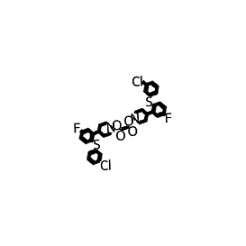 O=C(ON1CCC(c2cc(F)ccc2Sc2cccc(Cl)c2)CC1)C(=O)ON1CCC(c2cc(F)ccc2Sc2cccc(Cl)c2)CC1